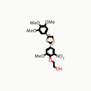 COc1cc([C@H]2CS[C@H](c3cc(OC)c(OCCO)c([N+](=O)[O-])c3)S2)cc(OC)c1OC